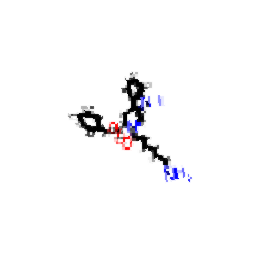 NCCCCCC(=O)N1Cc2[nH]c3ccccc3c2C[C@H]1C(=O)OCc1ccccc1